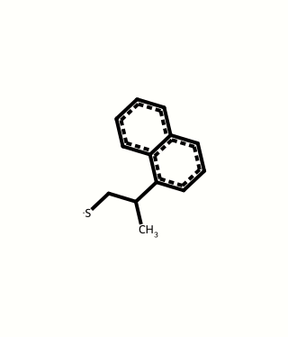 CC(C[S])c1cccc2ccccc12